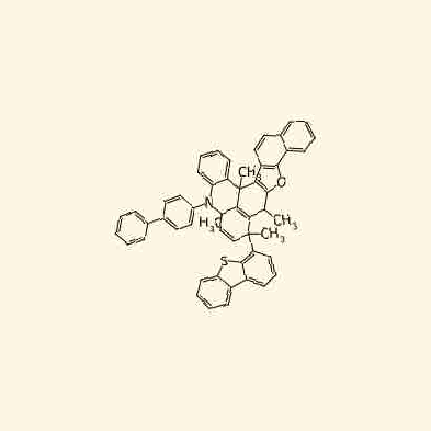 CC1C2=C3C(C)(c4ccccc4N(c4ccc(-c5ccccc5)cc4)C3(C)C=CC2(C)c2cccc3c2sc2ccccc23)c2c1oc1c2ccc2ccccc21